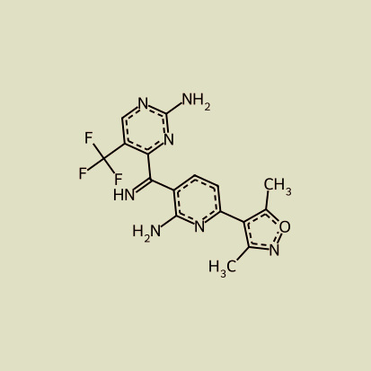 Cc1noc(C)c1-c1ccc(C(=N)c2nc(N)ncc2C(F)(F)F)c(N)n1